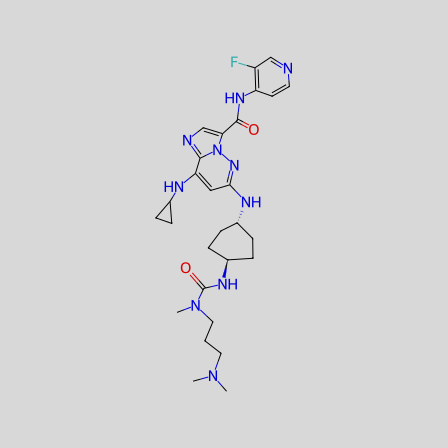 CN(C)CCCN(C)C(=O)N[C@H]1CC[C@H](Nc2cc(NC3CC3)c3ncc(C(=O)Nc4ccncc4F)n3n2)CC1